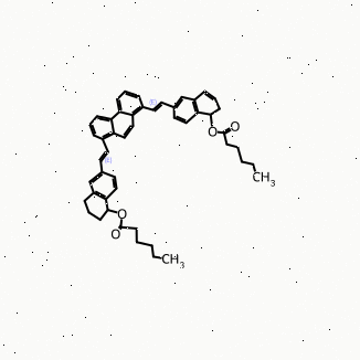 CCCCCC(=O)OC1CC=Cc2cc(/C=C/c3cccc4c3ccc3c(/C=C/c5ccc6c(c5)CCCC6OC(=O)CCCCC)cccc34)ccc21